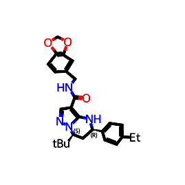 CCc1ccc([C@H]2C[C@@H](C(C)(C)C)n3ncc(C(=O)NCc4ccc5c(c4)OCO5)c3N2)cc1